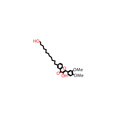 COc1ccc(-c2oc3ccc(CCCCCCCCCCCCO)cc3c(=O)c2O)cc1OC